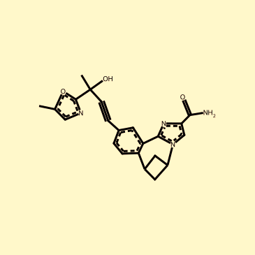 Cc1cnc(C(C)(O)C#Cc2ccc3c(c2)-c2nc(C(N)=O)cn2C2CC3C2)o1